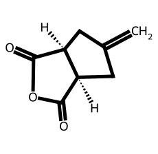 C=C1C[C@@H]2C(=O)OC(=O)[C@@H]2C1